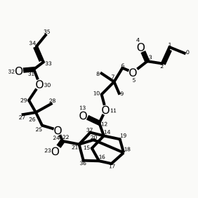 CC=CC(=O)OCC(C)(C)COC(=O)C12CC3CC(C1)CC(C(=O)OCC(C)(C)COC(=O)C=CC)(C3)C2